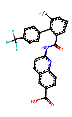 Cc1cccc(C(=O)Nc2ccc3cc(C(=O)O)ccc3n2)c1-c1ccc(C(F)(F)F)cc1